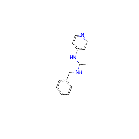 CC(NCc1ccccc1)Nc1ccncc1